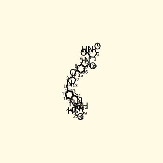 O=C1CCC(N2Cc3cc(OC4CCN(Cc5ccc6nc(N7[C@@H]8CC[C@H]7COC8)ncc6c5)C4)ccc3C2=O)C(=O)N1